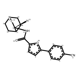 N#Cc1ccc(-c2ccc(C(=O)N[C@H]3CN4CCC3CC4)o2)cc1